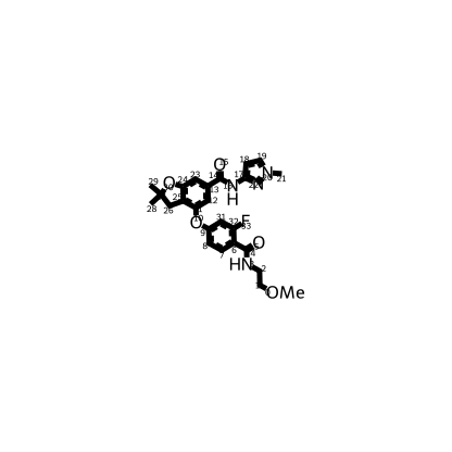 COCCNC(=O)c1ccc(Oc2cc(C(=O)Nc3ccn(C)n3)cc3c2CC(C)(C)O3)cc1F